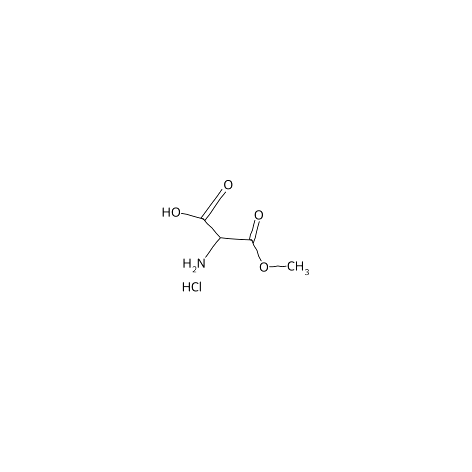 COC(=O)C(N)C(=O)O.Cl